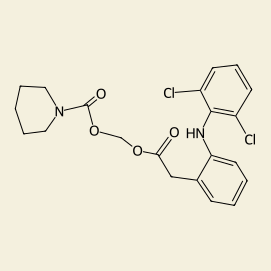 O=C(Cc1ccccc1Nc1c(Cl)cccc1Cl)OCOC(=O)N1CCCCC1